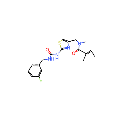 CC=C(C)C(=O)N(C)Cc1csc(NC(=O)NCc2cccc(F)c2)n1